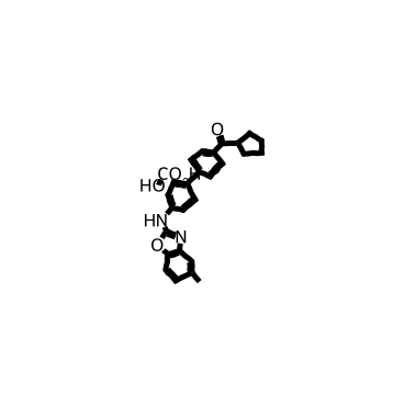 Cc1ccc2oc(Nc3ccc(-c4ccc(C(=O)C5CCCC5)cc4)cc3)nc2c1.O=C(O)O